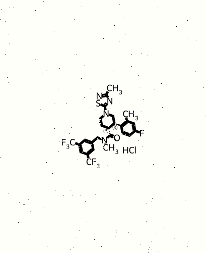 Cc1nsc(N2CC[C@@H](C(=O)N(C)Cc3cc(C(F)(F)F)cc(C(F)(F)F)c3)[C@H](c3ccc(F)cc3C)C2)n1.Cl